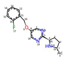 CC(=O)[C@@H]1CC[C@H](c2ncc(OCc3ccccc3F)cn2)N1